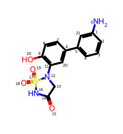 Nc1cccc(-c2ccc(O)c(N3CC(=O)NS3(=O)=O)c2)c1